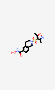 Cc1noc(C)c1S(=O)(=O)N1CCc2cc(C(=O)NO)ccc2C1